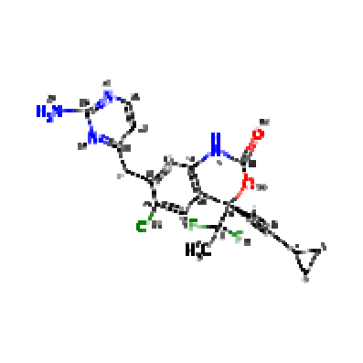 CC(F)(F)[C@@]1(C#CC2CC2)OC(=O)Nc2cc(Cc3ccnc(N)n3)c(Cl)cc21